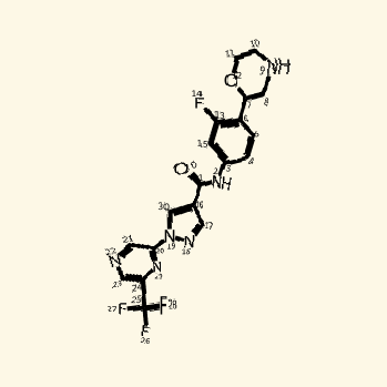 O=C(Nc1ccc(C2CNCCO2)c(F)c1)c1cnn(-c2cncc(C(F)(F)F)n2)c1